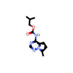 Cc1ccc2c(NC(=O)OCC(C)C)ncnn12